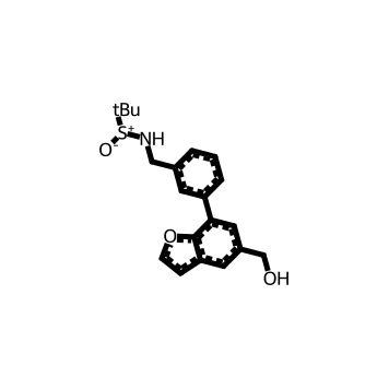 CC(C)(C)[S+]([O-])NCc1cccc(-c2cc(CO)cc3ccoc23)c1